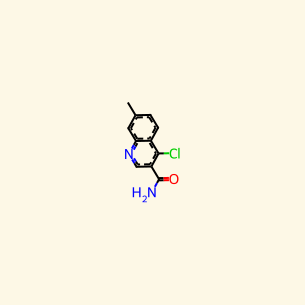 Cc1ccc2c(Cl)c(C(N)=O)cnc2c1